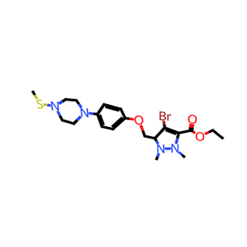 CCOC(=O)C1=C(Br)C(COc2ccc(N3CCN(SC)CC3)cc2)N(C)N1C